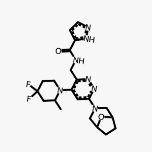 CC1CC(F)(F)CCN1c1cc(N2CC3CCC(C2)O3)nnc1CNC(=O)c1ccn[nH]1